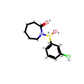 O=C1CCCCCN1[S+]([O-])c1cccc(Cl)c1